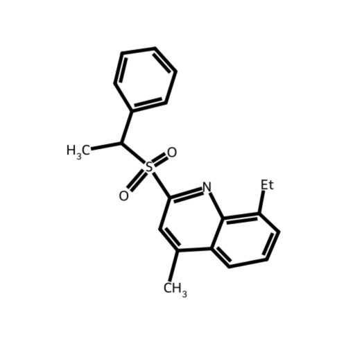 CCc1cccc2c(C)cc(S(=O)(=O)C(C)c3ccccc3)nc12